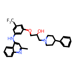 Cc1cc(Nc2cc(OC[C@@H](O)CN3CCC(c4ccccc4)CC3)cc(C(F)(F)F)c2)c2ccccc2n1